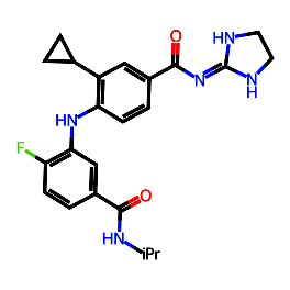 CC(C)NC(=O)c1ccc(F)c(Nc2ccc(C(=O)N=C3NCCN3)cc2C2CC2)c1